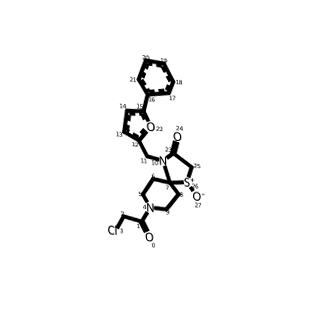 O=C(CCl)N1CCC2(CC1)N(Cc1ccc(-c3ccccc3)o1)C(=O)C[S+]2[O-]